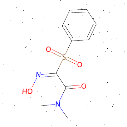 CN(C)C(=O)C(=NO)S(=O)(=O)c1ccccc1